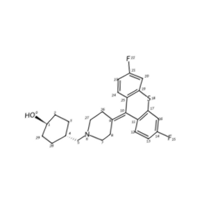 O[C@H]1CC[C@H](CN2CCC(=C3c4ccc(F)cc4Sc4cc(F)ccc43)CC2)CC1